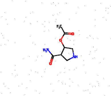 NC(=O)C1CNCC1OC(=O)C(F)(F)F